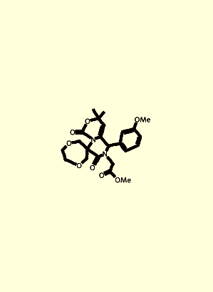 COC(=O)CN1C(=O)C2(COCCOC2)N2C(=O)OC(C)(C)C=C2C1c1cccc(OC)c1